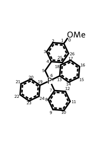 COc1ccc(C[P](c2ccccc2)(c2ccccc2)c2ccccc2)cc1